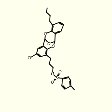 CCCCc1cccc2c1OC1OC2Oc2c(CCCOS(=O)(=O)c3ccc(C)cc3)cc(Cl)cc21